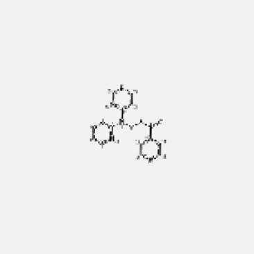 C=C(CCN(c1ccccn1)c1ccccn1)c1ccccc1